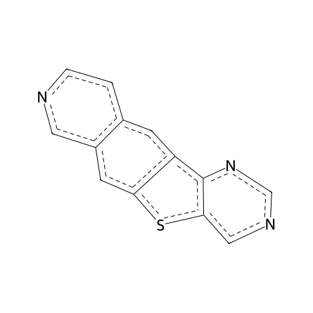 c1cc2cc3c(cc2cn1)sc1cncnc13